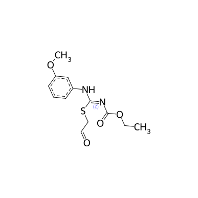 CCOC(=O)/N=C(/Nc1cccc(OC)c1)SCC=O